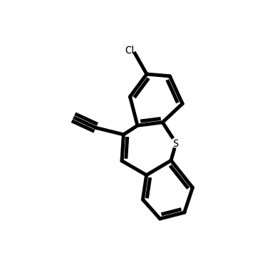 C#CC1=Cc2ccccc2Sc2ccc(Cl)cc21